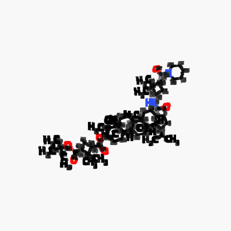 C=C(C)[C@@H]1CC[C@]2(C(=O)N[C@H]3C[C@@H](C(=O)N4CCCCC4)C3(C)C)CC[C@]3(C)[C@H](CC[C@@H]4[C@@]5(C)CC[C@H](OC(=O)[C@@H]6C[C@H](C(=O)OC(C)(C)C)C6(C)C)C(C)(C)[C@@H]5CC[C@]43C)[C@@H]12